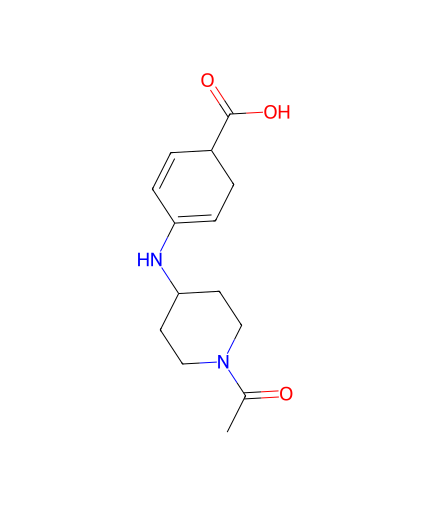 CC(=O)N1CCC(NC2=CCC(C(=O)O)C=C2)CC1